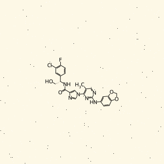 Cc1cnc(Nc2ccc3c(c2)OCO3)nc1-n1cnc(C(=O)N[C@H](CO)c2ccc(F)c(Cl)c2)c1